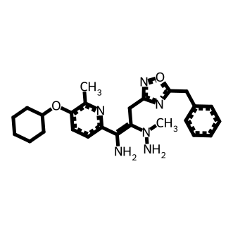 Cc1nc(/C(N)=C(\Cc2noc(Cc3ccccc3)n2)N(C)N)ccc1OC1CCCCC1